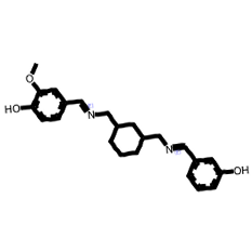 COc1cc(/C=N/CC2CCCC(C/N=C/c3cccc(O)c3)C2)ccc1O